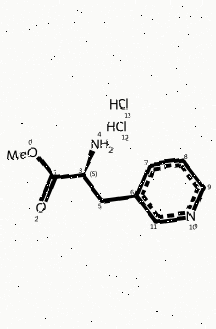 COC(=O)[C@@H](N)Cc1cccnc1.Cl.Cl